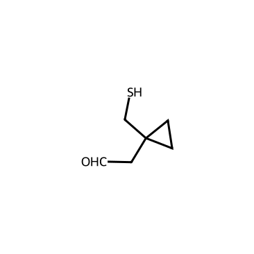 O=CCC1(CS)CC1